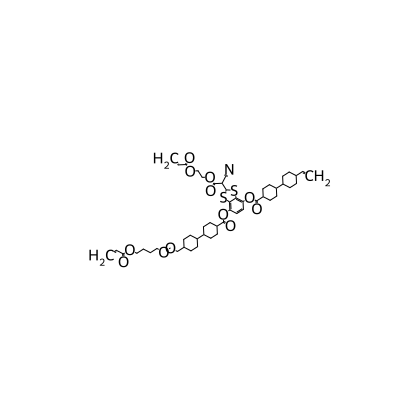 C=CC(=O)OCCCCOOCC1CCC(C2CCC(C(=O)Oc3ccc(OC(=O)C4CCC(C5CCC(C=C)CC5)CC4)c4c3SC(C(C#N)C(=O)OCCOC(=O)C=C)S4)CC2)CC1